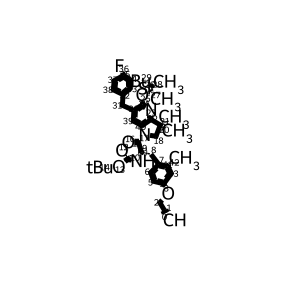 C#CCOc1ccc(C[C@H](NC(=O)OC(C)(C)C)C(=O)N2CC(C)(C)c3nc(O[Si](C)(C)C(C)(C)C)c(Cc4ccc(F)cc4)cc32)c(C)c1